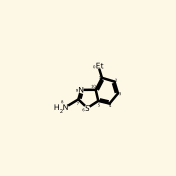 CCc1cccc2sc(N)nc12